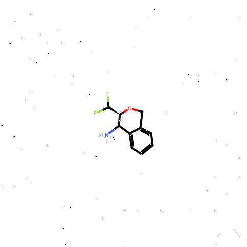 NC1c2ccccc2CO[C@@H]1C(F)F